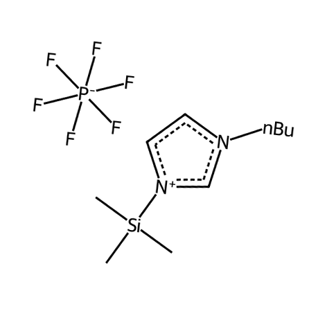 CCCCn1cc[n+]([Si](C)(C)C)c1.F[P-](F)(F)(F)(F)F